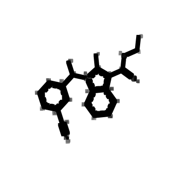 CCOC(=O)c1c(C)n(C(C)c2cccc(C#N)c2)c2ccccc12